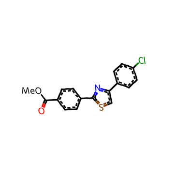 COC(=O)c1ccc(-c2nc(-c3ccc(Cl)cc3)cs2)cc1